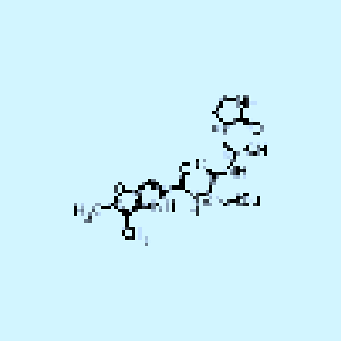 Cc1oc2cc(C(=O)N[C@@H](CC(C)(C)C)C(=O)N[C@H](C#N)C[C@@H]3CCNC3=O)[nH]c2c1C